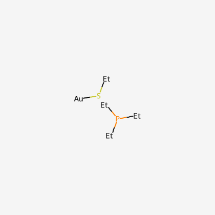 CCP(CC)CC.CC[S][Au]